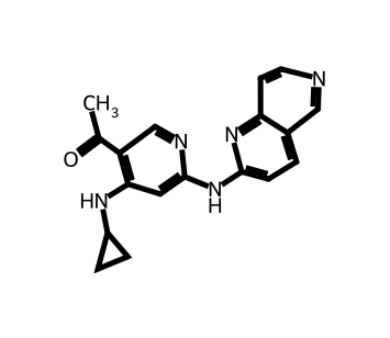 CC(=O)c1cnc(Nc2ccc3cnccc3n2)cc1NC1CC1